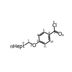 CCCCCCCCOc1ccc(C(=O)Cl)cc1